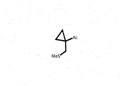 CSCC1(C(C)=O)CC1